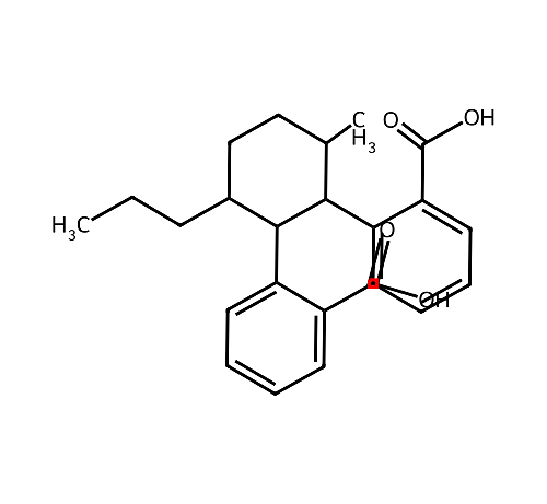 CCCC1CCC(C)C(c2ccccc2C(=O)O)C1c1ccccc1C(=O)O